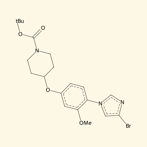 COc1cc(OC2CCN(C(=O)OC(C)(C)C)CC2)ccc1-n1cnc(Br)c1